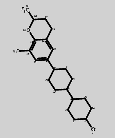 CCC1CCC(C2CCC(c3cc(F)c4c(c3)CCC(C(F)(F)F)O4)CC2)CC1